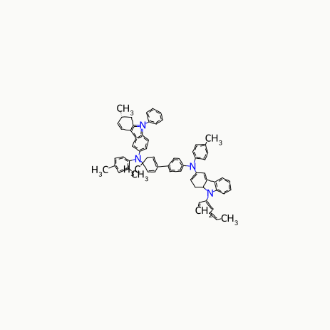 C=C/C(=C\C=C/C)N1c2ccccc2C2=CC(N(c3ccc(C)cc3)c3ccc(C4=CCC(C)(N(c5ccc6c(c5)c5c(n6-c6ccccc6)C[C@@H](C)C=C5)c5ccc(C)cc5C)C=C4)cc3)=CCC21